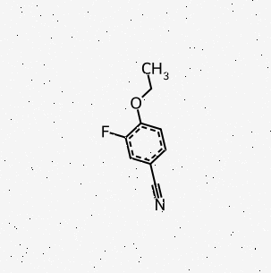 CCOc1ccc(C#N)cc1F